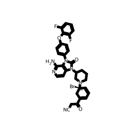 N#CCC(=O)C1=CC=C[C@@](Br)(N2CCCC(n3c(=O)n(-c4ccc(Oc5c(F)cccc5F)cc4)c4c(N)nccc43)C2)C1